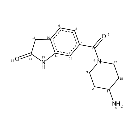 NC1CCN(C(=O)c2ccc3c(c2)NC(=O)C3)CC1